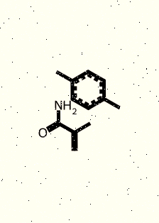 C=C(C)C(N)=O.Cc1ccc(C)cc1